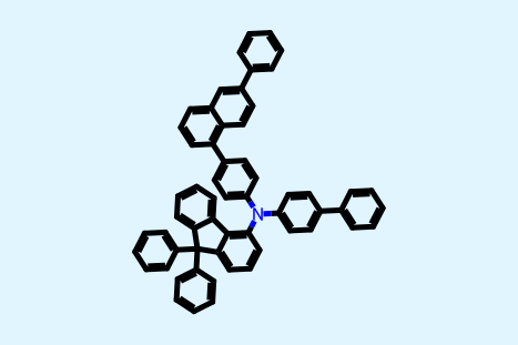 c1ccc(-c2ccc(N(c3ccc(-c4cccc5cc(-c6ccccc6)ccc45)cc3)c3cccc4c3-c3ccccc3C4(c3ccccc3)c3ccccc3)cc2)cc1